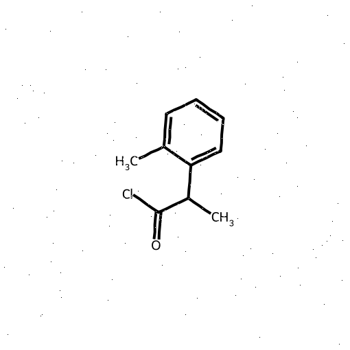 Cc1ccccc1C(C)C(=O)Cl